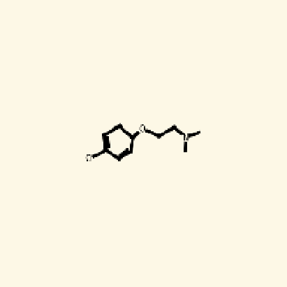 CN(C)CCOC1C=CC(Cl)=CC1